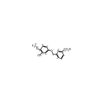 O=C(O)c1cccc(COc2ccc(OC(F)(F)F)c(Cl)c2)n1